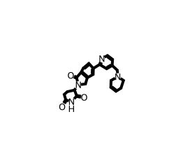 O=C1CCC(N2Cc3cc(-c4cc(CN5CC=CCC5)ccn4)ccc3C2=O)C(=O)N1